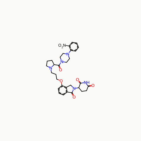 O=C1CCC(N2Cc3c(OCCCN4CCCC4C(=O)N4CCN(c5ccccc5[N+](=O)[O-])CC4)cccc3C2=O)C(=O)N1